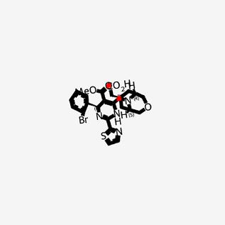 COC(=O)C1=C(CN2[C@@H]3COC[C@H]2C[C@H](CC(=O)O)C3)NC(c2nccs2)=N[C@H]1c1ccccc1Br